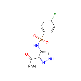 CNC(=O)c1n[nH]cc1NS(=O)(=O)c1ccc(F)cc1